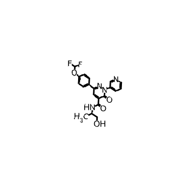 CC(CO)NC(=O)c1cc(-c2ccc(OC(F)F)cc2)nn(-c2cccnc2)c1=O